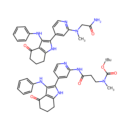 CN(CC(N)=O)c1cc(-c2[nH]c3c(c2Nc2ccccc2)C(=O)CCC3)ccn1.CN(CCC(=O)Nc1cc(-c2[nH]c3c(c2Nc2ccccc2)C(=O)CCC3)ccn1)C(=O)OC(C)(C)C